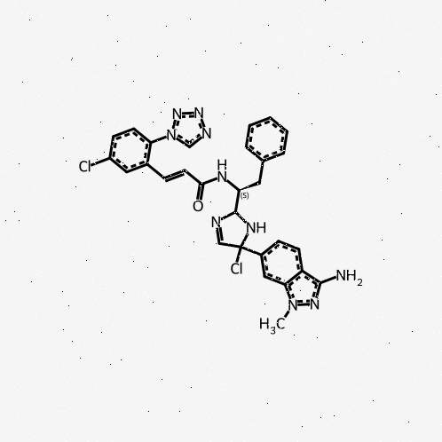 Cn1nc(N)c2ccc(C3(Cl)C=NC([C@H](Cc4ccccc4)NC(=O)C=Cc4cc(Cl)ccc4-n4cnnn4)N3)cc21